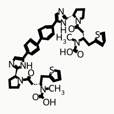 CN(C(=O)O)[C@H](CC(=O)N1CCC[C@H]1c1ncc(-c2ccc(-c3ccc(-c4cnc([C@@H]5CCCN5C(=O)C[C@H](Cc5cccs5)N(C)C(=O)O)[nH]4)cc3)cc2)[nH]1)Cc1cccs1